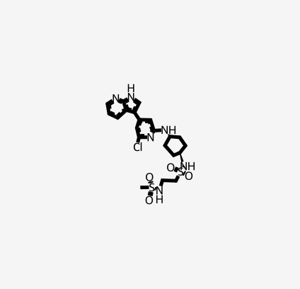 CS(=O)(=O)NCCS(=O)(=O)N[C@H]1CC[C@H](Nc2cc(-c3c[nH]c4ncccc34)cc(Cl)n2)CC1